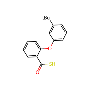 CC(C)(C)c1cccc(Oc2ccccc2C(=O)S)c1